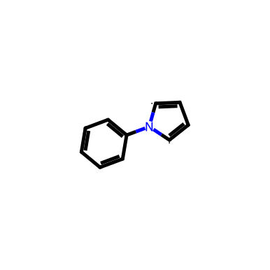 [c]1cc[c]n1-c1ccccc1